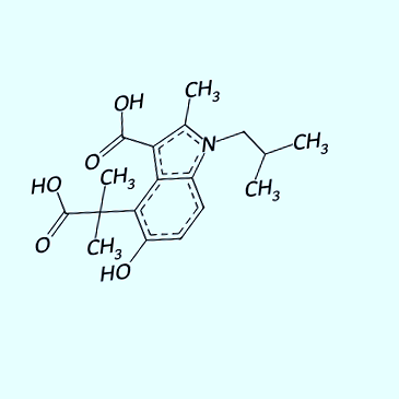 Cc1c(C(=O)O)c2c(C(C)(C)C(=O)O)c(O)ccc2n1CC(C)C